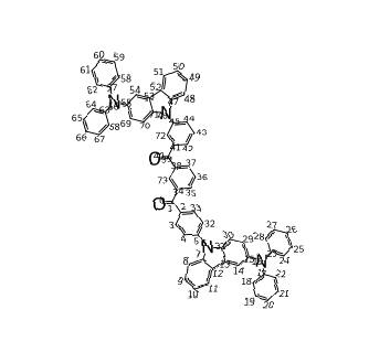 O=C(c1ccc(-n2c3ccccc3c3cc(N(c4ccccc4)c4ccccc4)ccc32)cc1)c1cccc(C(=O)c2cccc(-n3c4ccccc4c4cc(N(c5ccccc5)c5ccccc5)ccc43)c2)c1